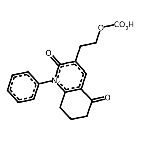 O=C(O)OCCc1cc2c(n(-c3ccccc3)c1=O)CCCC2=O